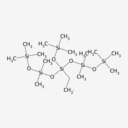 [CH2]C[Si](O[Si](C)(C)C)(O[Si](C)(C)O[Si](C)(C)C)O[Si](C)(C)O[Si](C)(C)C